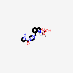 Cn1c(OC(=O)O)cc2cccc(CN3CCN(C(=O)[C@@H]4CCCN4)CC3)c21